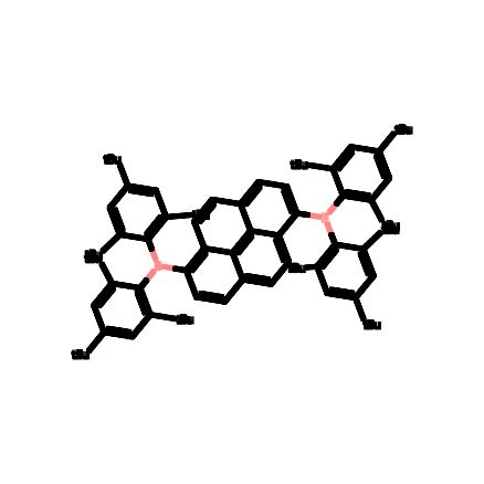 CC(C)(C)c1cc(C(C)(C)C)c(B(c2c(C(C)(C)C)cc(C(C)(C)C)cc2C(C)(C)C)c2ccc3ccc4c(B(c5c(C(C)(C)C)cc(C(C)(C)C)cc5C(C)(C)C)c5c(C(C)(C)C)cc(C(C)(C)C)cc5C(C)(C)C)ccc5ccc2c3c54)c(C(C)(C)C)c1